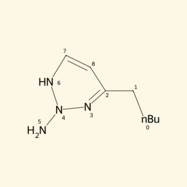 CCCCCC1=NN(N)NC=C1